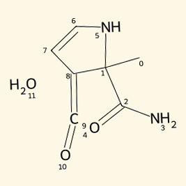 CC1(C(N)=O)NC=CC1=C=O.O